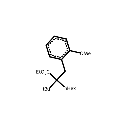 CCCCCCC(Cc1ccccc1OC)(C(=O)OCC)C(C)(C)C